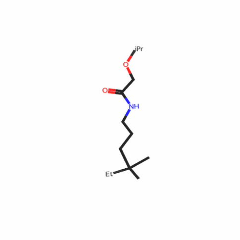 CCC(C)(C)CCCNC(=O)COC(C)C